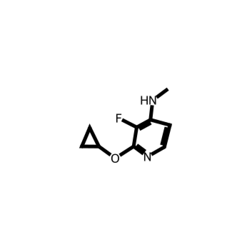 CNc1ccnc(OC2CC2)c1F